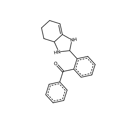 O=C(c1ccccc1)c1ccccc1C1NC2=CCCCC2N1